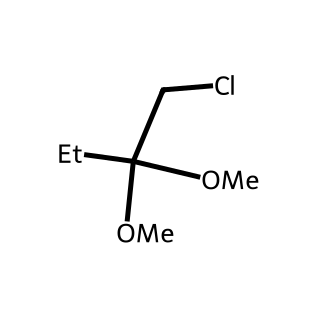 CCC(CCl)(OC)OC